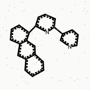 c1cncc(-c2cccc(-c3cccc4cc5ccccc5cc34)n2)c1